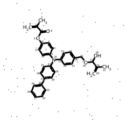 C=C(C)C(=O)Oc1ccc(N(c2ccc(COC(O)C(=C)C)cc2)c2ccc(-c3ccccc3)cc2)cc1